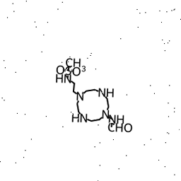 CS(=O)(=O)NCCN1CCNCCN(NC=O)CCNCC1